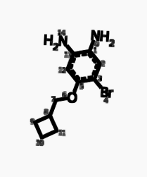 Nc1cc(Br)c(OCC2CCC2)cc1N